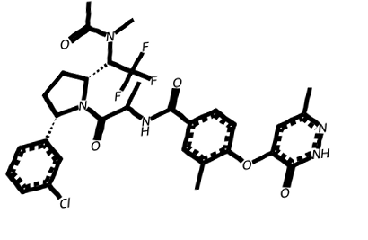 CC(=O)N(C)C([C@H]1CC[C@@H](c2cccc(Cl)c2)N1C(=O)C(C)NC(=O)c1ccc(Oc2cc(C)n[nH]c2=O)c(C)c1)C(F)(F)F